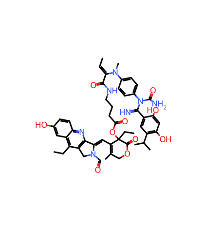 C/C=C(/C(=O)NCCCC(=O)OC1(CC)C(=O)OCC(C)=C1/C=C1/c2nc3ccc(O)cc3c(CC)c2CN1C=O)N(C)c1ccc(N(C(=N)c2cc(C(C)C)c(O)cc2O)C(N)=O)cc1